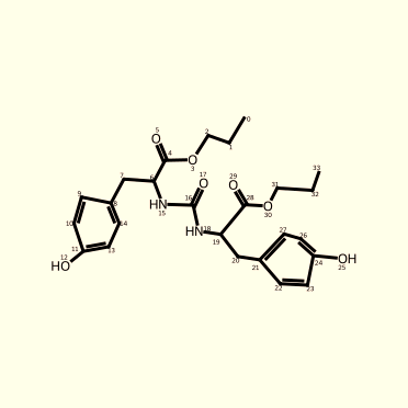 CCCOC(=O)C(Cc1ccc(O)cc1)NC(=O)NC(Cc1ccc(O)cc1)C(=O)OCCC